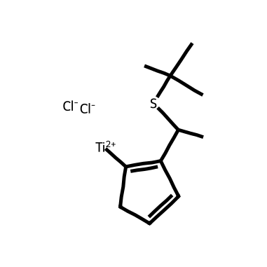 CC(SC(C)(C)C)C1=[C]([Ti+2])CC=C1.[Cl-].[Cl-]